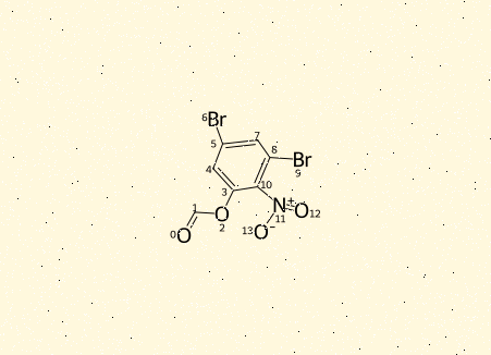 O=COc1cc(Br)cc(Br)c1[N+](=O)[O-]